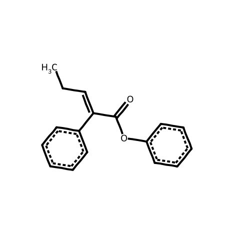 CCC=C(C(=O)Oc1ccccc1)c1ccccc1